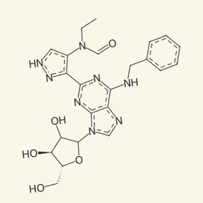 CCN(C=O)c1c[nH]nc1-c1nc(NCc2ccccc2)c2ncn(C3O[C@H](CO)[C@@H](O)C3O)c2n1